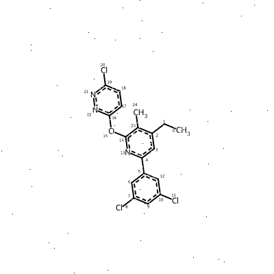 CCc1cc(-c2cc(Cl)cc(Cl)c2)nc(Oc2ccc(Cl)nn2)c1C